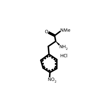 CNC(=O)[C@@H](N)Cc1ccc([N+](=O)[O-])cc1.Cl